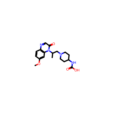 COc1ccc2ncc(=O)n(C(C)CN3CCC(NC(=O)O)CC3)c2c1